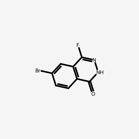 O=c1[nH]nc(F)c2cc(Br)ccc12